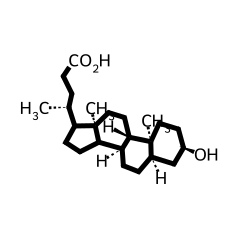 C[C@H](CCC(=O)O)C1CCC2[C@@H]3CC[C@@H]4C[C@H](O)CC[C@]4(C)[C@H]3CC[C@]12C